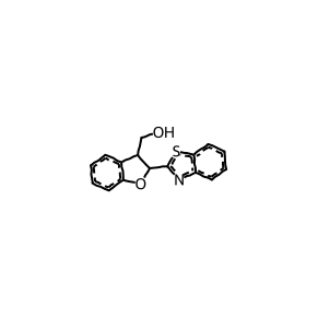 OCC1c2ccccc2OC1c1nc2ccccc2s1